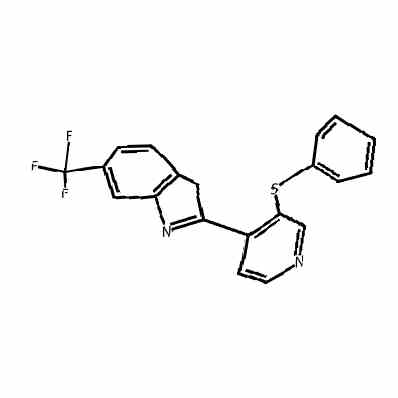 FC(F)(F)c1ccc2c(c1)N=C(c1ccncc1Sc1ccccc1)C2